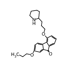 CCCOc1ccc2c(c1)C(=O)c1cccc(OCCCC3CCCCN3)c1-2